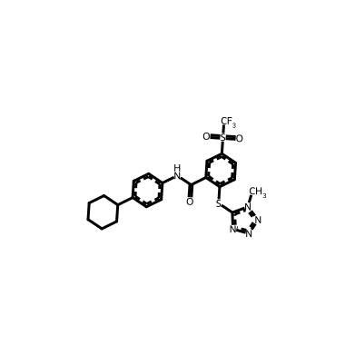 Cn1nnnc1Sc1ccc(S(=O)(=O)C(F)(F)F)cc1C(=O)Nc1ccc(C2CCCCC2)cc1